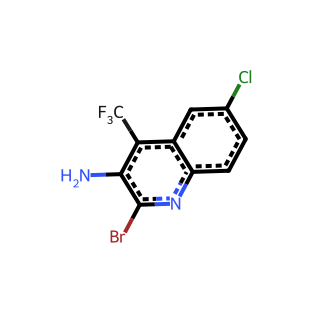 Nc1c(Br)nc2ccc(Cl)cc2c1C(F)(F)F